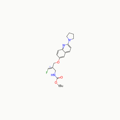 CC(C)(C)OC(=O)NC/C(=C\F)COc1ccc2nc(N3CCCC3)ccc2c1